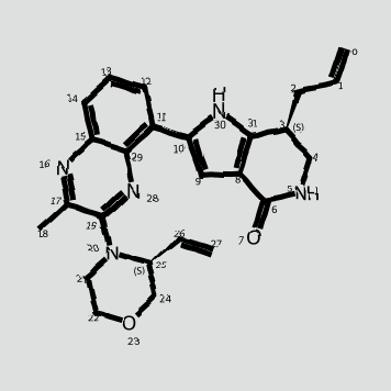 C=CC[C@H]1CNC(=O)c2cc(-c3cccc4nc(C)c(N5CCOC[C@@H]5C=C)nc34)[nH]c21